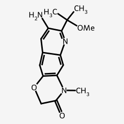 COC(C)(C)c1nc2cc3c(cc2cc1N)OCC(=O)N3C